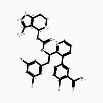 NC(=O)c1cc(-c2cccnc2C(Cc2cc(F)cc(F)c2)NC(=O)C[C@@H]2SCCc3[nH]nc(C(F)(F)F)c32)ccc1F